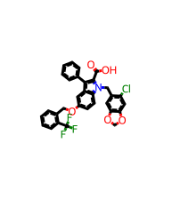 O=C(O)c1c(-c2ccccc2)c2cc(OCc3ccccc3C(F)(F)F)ccc2n1Cc1cc2c(cc1Cl)OCO2